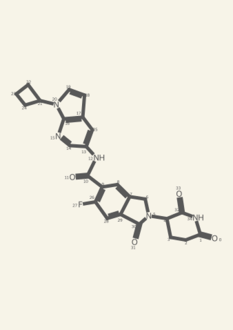 O=C1CCC(N2Cc3cc(C(=O)Nc4cnc5c(ccn5C5CCC5)c4)c(F)cc3C2=O)C(=O)N1